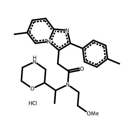 COCCN(C(=O)Cc1c(-c2ccc(C)cc2)nc2ccc(C)cn12)C(C)C1CNCCO1.Cl